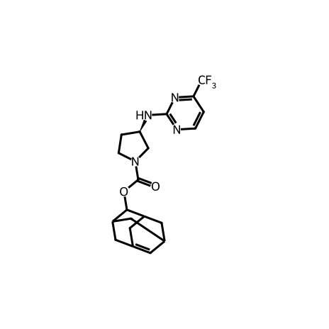 O=C(OC1C2CC3=CC(C2)CC1C3)N1CC[C@@H](Nc2nccc(C(F)(F)F)n2)C1